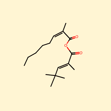 CCCCCC=C(C)C(=O)OC(=O)C(C)=CC(C)(C)C